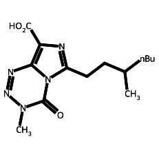 CCCCC(C)CCc1nc(C(=O)O)c2nnn(C)c(=O)n12